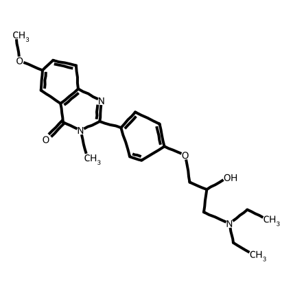 CCN(CC)CC(O)COc1ccc(-c2nc3ccc(OC)cc3c(=O)n2C)cc1